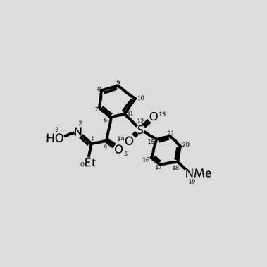 CCC(=NO)C(=O)c1ccccc1S(=O)(=O)c1ccc(NC)cc1